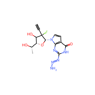 C#C[C@@]1(F)C(O)[C@@H]([C@H](C)O)O[C@H]1n1ccc2c(=O)[nH]c(N=NN)nc21